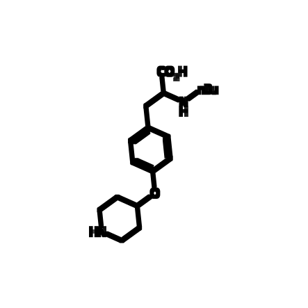 CCCCNC(Cc1ccc(OC2CCNCC2)cc1)C(=O)O